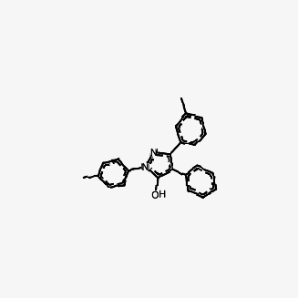 Cc1ccc(-n2nc(-c3cccc(C)c3)c(-c3ccccc3)c2O)cc1